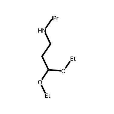 CCOC(CCNC(C)C)OCC